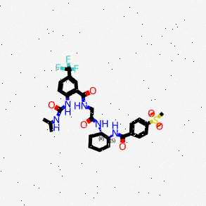 CC(C)NC(=O)Nc1ccc(C(F)(F)F)cc1C(=O)NCC(=O)N[C@@H]1CCCC[C@@H]1NC(=O)c1ccc(S(C)(=O)=O)cc1